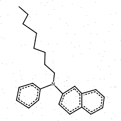 CCCCCCCCN(c1ccccc1)c1ccc2ccccc2c1